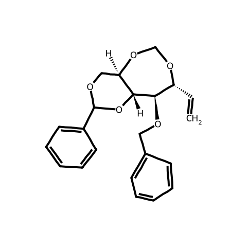 C=C[C@H]1OCO[C@@H]2COC(c3ccccc3)O[C@H]2[C@@H]1OCc1ccccc1